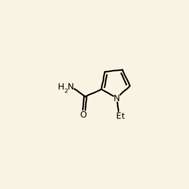 CCn1cccc1C(N)=O